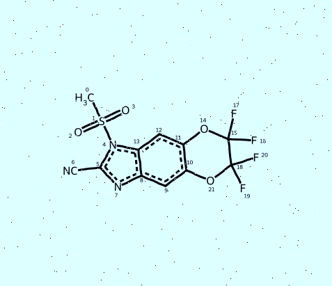 CS(=O)(=O)n1c(C#N)nc2cc3c(cc21)OC(F)(F)C(F)(F)O3